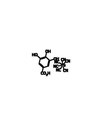 N#[C][Fe]([C]#N)([C]#N)([C]#N)([C]#N)[C]#N.O=C(O)c1cc(O)c(O)c(O)c1